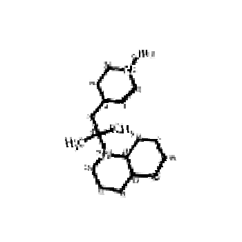 CC(C)(C)N1CCC(CC(C)(C)N2CCCC3CCCCC32)CC1